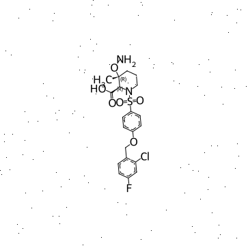 C[C@@]1(ON)CCCN(S(=O)(=O)c2ccc(OCc3ccc(F)cc3Cl)cc2)[C@H]1C(=O)O